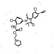 CC1(C)C(=O)N(c2ccc(C#N)c(Cl)c2)C(=S)N1c1ccc(Cl)c(NC(=O)OCCN2CCCC2)c1